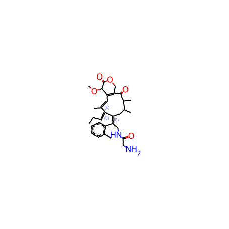 CC/C=C1C(\C)=C\C2=C(COC(=O)C2OC)C(=O)C(C)C(C)CC\1=C(/CNC(=O)CN)c1ccccc1C